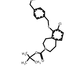 CC(C)(C)OC(=O)N1CCc2ccc(Cl)c(SCc3ccc(CO)cc3)c2CC1